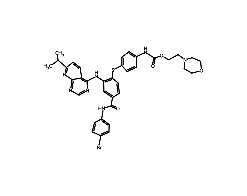 CC(C)c1ccc2c(Nc3cc(C(=O)Nc4ccc(Br)cc4)ccc3Sc3ccc(NC(=O)OCCN4CCOCC4)cc3)ncnc2n1